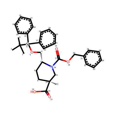 CC(C)(C)[Si](OC[C@H]1CC[C@](C)(C(=O)O)CN1C(=O)OCc1ccccc1)(c1ccccc1)c1ccccc1